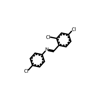 Clc1ccc(N=Cc2ccc(Cl)cc2Cl)cc1